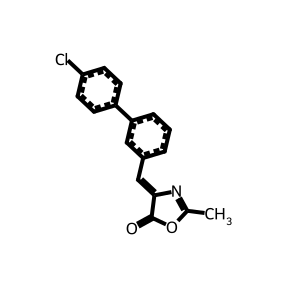 CC1=N/C(=C\c2cccc(-c3ccc(Cl)cc3)c2)C(=O)O1